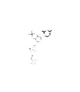 CC1(C)OC2[C@@H](COP(=O)(O)OCC[N+](C)(C)C)O[C@@H](n3ccc(=O)[nH]c3=O)[C@H]2O1